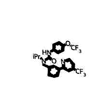 CC(C)N(Cc1cccc(-c2cc(C(F)(F)F)ccn2)c1)C(=O)Nc1ccc(OC(F)(F)F)cc1